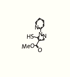 COC(=O)c1cnn(-c2ccccn2)c1S